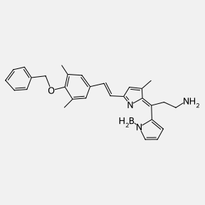 Bn1cccc1/C(CCN)=C1N=C(/C=C/c2cc(C)c(OCc3ccccc3)c(C)c2)C=C\1C